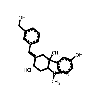 CN(C)C1CCC(=Cc2cccc(CO)c2)CC1(C)c1cccc(O)c1.Cl